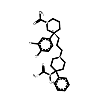 CC(=O)N1CCC[C@](CCCN2CCC(c3ccccc3)(N(C)C(C)=O)CC2)(c2ccc(Cl)c(Cl)c2)C1